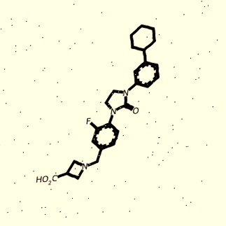 O=C(O)C1CN(Cc2ccc(N3CCN(c4cccc(C5CCCCC5)c4)C3=O)c(F)c2)C1